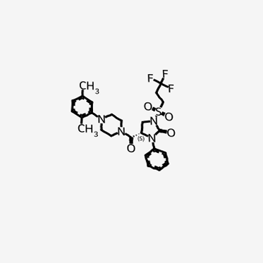 Cc1ccc(C)c(N2CCN(C(=O)[C@@H]3CN(S(=O)(=O)CCC(F)(F)F)C(=O)N3c3ccccc3)CC2)c1